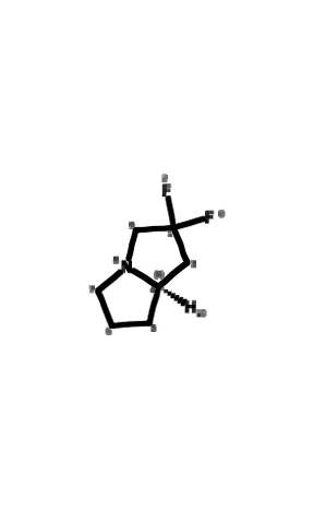 FC1(F)C[C@H]2CCCN2C1